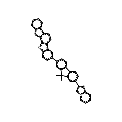 CC1(C)c2cc(-c3ccc4oc5c(ccc6c7ccccc7oc65)c4c3)ccc2-c2ccc(-c3cn4ccccc4n3)cc21